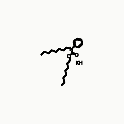 CCCCCCCCOC(=O)N(CCCCCCCC)c1ccccc1.[KH]